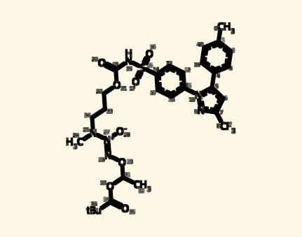 Cc1ccc(-c2cc(C(F)(F)F)nn2-c2ccc(S(=O)(=O)NC(=O)OCCCN(C)[N+]([O-])=NOC(C)OC(=O)C(C)(C)C)cc2)cc1